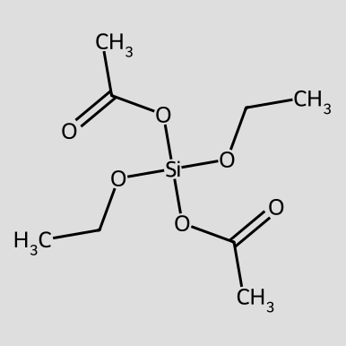 CCO[Si](OCC)(OC(C)=O)OC(C)=O